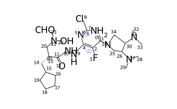 C=C(/C(F)=C(\N=C(/N)Cl)NNC(=O)[C@H](CC1CCCC1)CN(O)C=O)N1CC(N(C)C)C(N(C)C)C1